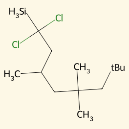 CC(CC([SiH3])(Cl)Cl)CC(C)(C)CC(C)(C)C